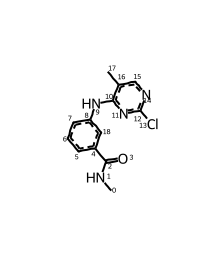 CNC(=O)c1cccc(Nc2nc(Cl)ncc2C)c1